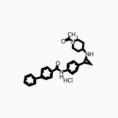 CC(=O)N1CCC(NC2CC2c2ccc(NC(=O)c3ccc(-c4ccccc4)cc3)cc2)CC1.Cl